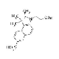 C=C1N(CCOC(C)=O)C2=C(C3C=CC(S(=O)(=O)O)=CC3C=C2)C1(C)C